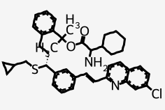 CC(C)(OC(=O)C(N)C1CCCCC1)c1ccccc1CC[C@@H](SCC1CC1)c1cccc(/C=C/c2ccc3ccc(Cl)cc3n2)c1